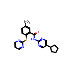 O=C(Nc1ncc(C2CCCC2)cn1)c1cc([N+](=O)[O-])ccc1Sc1ncccn1